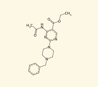 CCOC(=O)c1cnc(N2CCN(Cc3ccccc3)CC2)nc1NC(C)=O